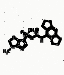 C[C@@H]1COc2c([S@@](N)(=O)=NC(=O)Nc3c4c(cc5c3CCC5)CCC4)cnn21